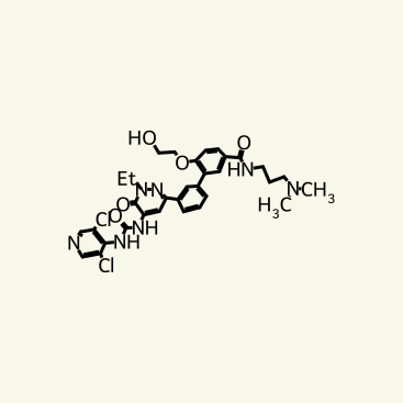 CCn1nc(-c2cccc(-c3cc(C(=O)NCCCN(C)C)ccc3OCCO)c2)cc(NC(=O)Nc2c(Cl)cncc2Cl)c1=O